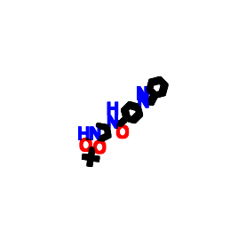 CC(C)(C)C(=O)OC1C[C@@H](NC(=O)c2ccc(-n3cc4ccccc4n3)cc2)CN1